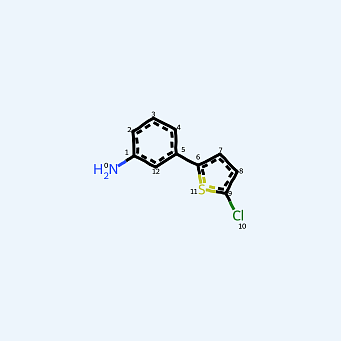 Nc1cccc(-c2ccc(Cl)s2)c1